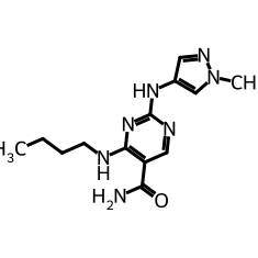 CCCCNc1nc(Nc2cnn(C)c2)ncc1C(N)=O